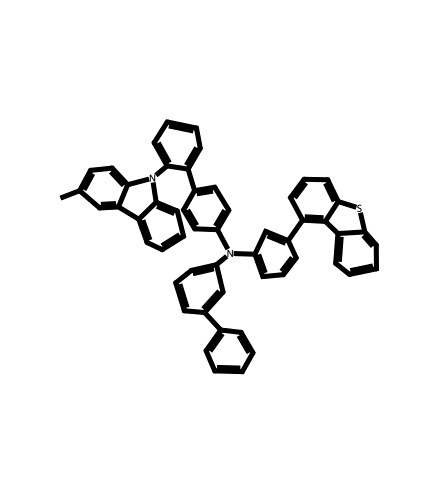 Cc1ccc2c(c1)c1ccccc1n2-c1ccccc1-c1ccc(N(c2cccc(-c3ccccc3)c2)c2cccc(-c3cccc4sc5ccccc5c34)c2)cc1